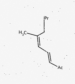 CC(=O)C=CC=C(C)CC(C)C